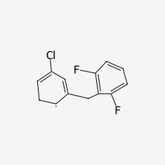 Fc1cccc(F)c1CC1=CC(Cl)=CC[CH]1